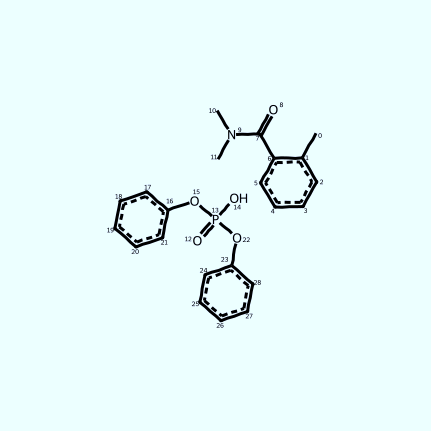 Cc1ccccc1C(=O)N(C)C.O=P(O)(Oc1ccccc1)Oc1ccccc1